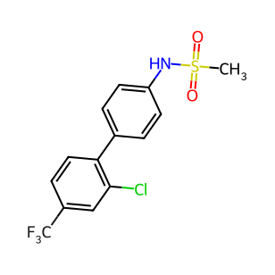 CS(=O)(=O)Nc1ccc(-c2ccc(C(F)(F)F)cc2Cl)cc1